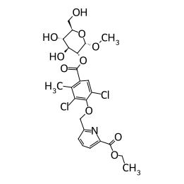 CCOC(=O)c1cccc(COc2c(Cl)cc(C(=O)O[C@H]3[C@@H](OC)O[C@H](CO)[C@@H](O)[C@@H]3O)c(C)c2Cl)n1